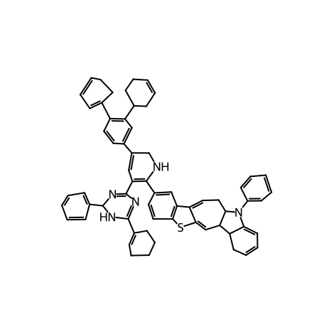 C1=CCCC(c2ccc(C3=CC(C4=NC(c5ccccc5)NC(C5=CCCCC5)=N4)=C(c4ccc5sc6c(c5c4)=CCC4C(C=6)C5CC=CC=C5N4c4ccccc4)NC3)cc2C2CC=CCC2)=C1